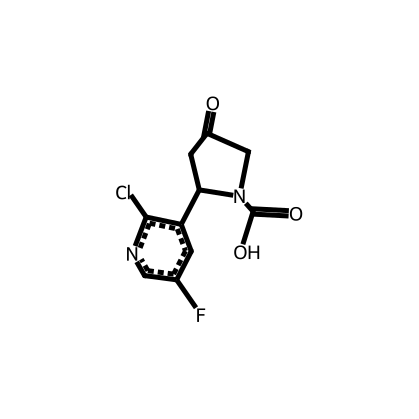 O=C1CC(c2cc(F)cnc2Cl)N(C(=O)O)C1